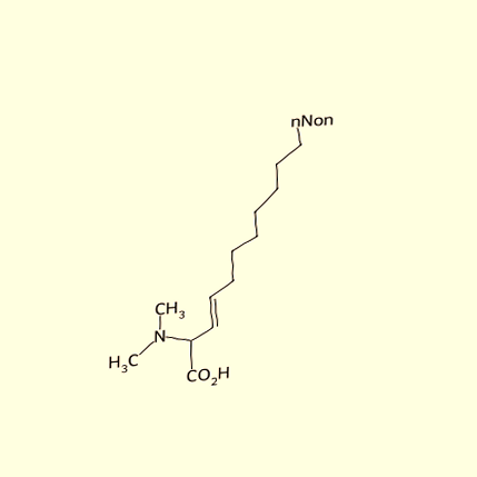 CCCCCCCCCCCCCCCCC=CC(C(=O)O)N(C)C